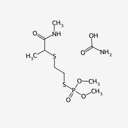 CNC(=O)C(C)SCCSP(=O)(OC)OC.NC(=O)O